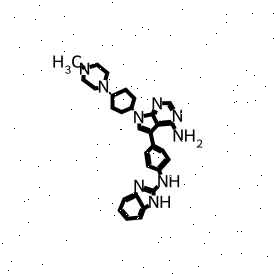 CN1CCN([C@H]2CC[C@@H](n3cc(-c4ccc(Nc5nc6ccccc6[nH]5)cc4)c4c(N)ncnc43)CC2)CC1